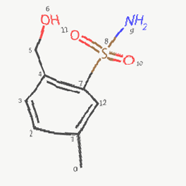 Cc1ccc(CO)c(S(N)(=O)=O)c1